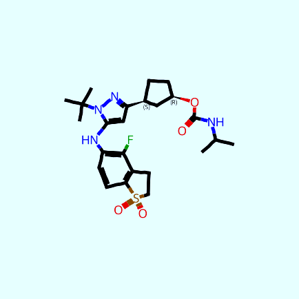 CC(C)NC(=O)O[C@@H]1CC[C@H](c2cc(Nc3ccc4c(c3F)CCS4(=O)=O)n(C(C)(C)C)n2)C1